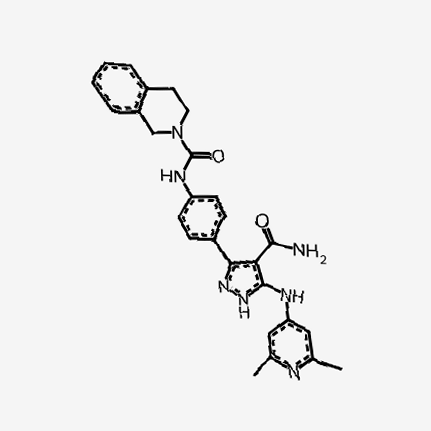 Cc1cc(Nc2[nH]nc(-c3ccc(NC(=O)N4CCc5ccccc5C4)cc3)c2C(N)=O)cc(C)n1